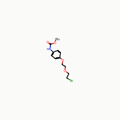 CC(C)(C)OC(=O)Nc1ccc(OCCOCCBr)cc1